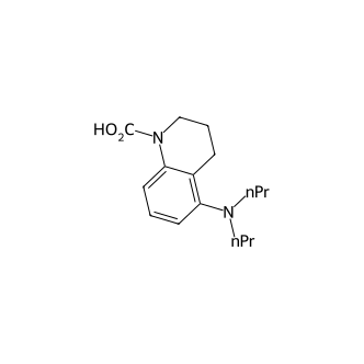 CCCN(CCC)c1cccc2c1CCCN2C(=O)O